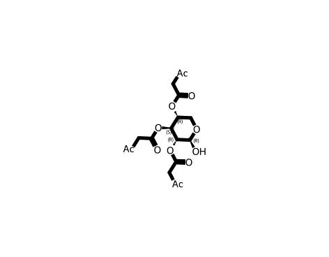 CC(=O)CC(=O)O[C@@H]1[C@@H](OC(=O)CC(C)=O)[C@H](OC(=O)CC(C)=O)CO[C@H]1O